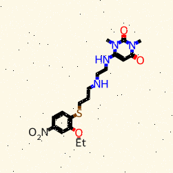 CCOc1cc([N+](=O)[O-])ccc1SCCCNCCNc1cc(=O)n(C)c(=O)n1C